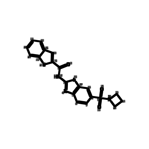 O=C(Nc1nc2ccc(S(=O)(=O)N3CCC3)cc2s1)c1cc2ccccc2s1